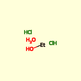 CCO.Cl.Cl.O